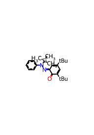 CC(C)(C)C1=CC(=NN(c2ccccc2)[Si](C)(C)C)C(=O)C(C(C)(C)C)=C1